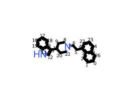 c1ccc2c(CCN3CCC(c4c[nH]c5ccccc45)CC3)cccc2c1